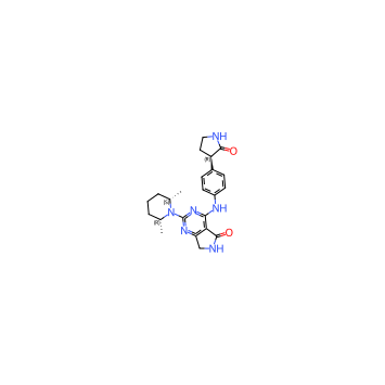 C[C@@H]1CCC[C@H](C)N1c1nc2c(c(Nc3ccc([C@H]4CCNC4=O)cc3)n1)C(=O)NC2